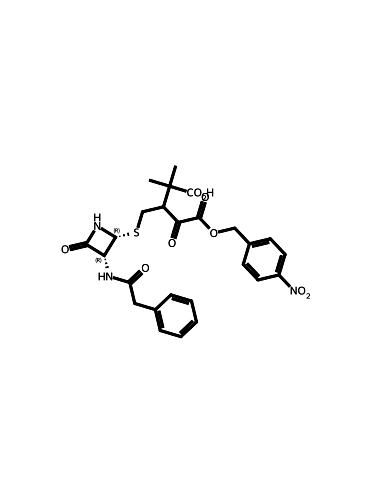 CC(C)(C(=O)O)C(CS[C@H]1NC(=O)[C@H]1NC(=O)Cc1ccccc1)C(=O)C(=O)OCc1ccc([N+](=O)[O-])cc1